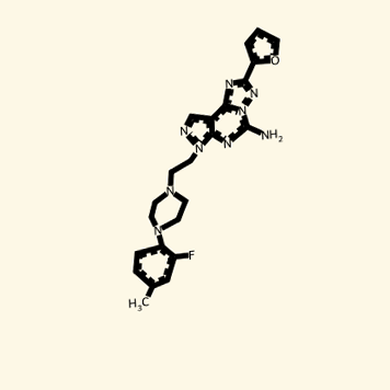 Cc1ccc(N2CCN(CCn3ncc4c3nc(N)n3nc(-c5ccco5)nc43)CC2)c(F)c1